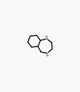 C1CCC2NCCNCC2C1